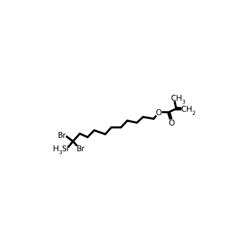 C=C(C)C(=O)OCCCCCCCCCCC([SiH3])(Br)Br